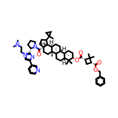 CN(C)CCn1cc(-c2cccnc2)nc1[C@@H]1CCCN1C(=O)[C@]12CCC(C3(C)CC3)[C@@H]1[C@H]1CC[C@@H]3[C@@]4(C)CC[C@H](OC(=O)[C@H]5C[C@@H](C(=O)OCc6ccccc6)C5(C)C)C(C)(C)[C@@H]4CC[C@@]3(C)[C@]1(C)CC2